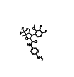 COc1c(C2C(C(=O)Nc3ccc(N)nc3)OC(C)(C(F)(F)F)C2C)ccc(F)c1F